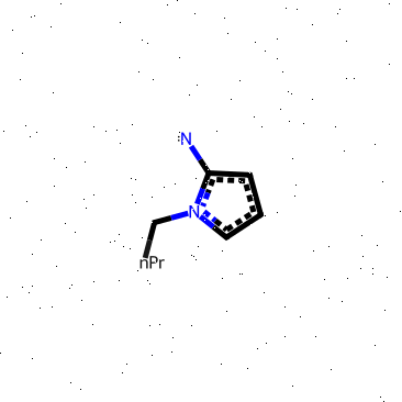 CCCCn1cccc1[N]